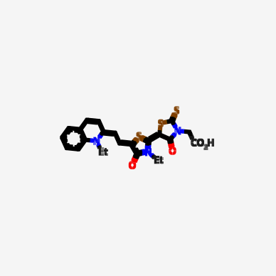 CCN1C(=CC=c2sc(=C3SC(=S)N(CC(=O)O)C3=O)n(CC)c2=O)C=Cc2ccccc21